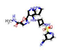 CNC(=O)c1cnc(-c2cnc3[nH]ccc3c2N[C@H]2C[C@H](NS(=O)(=O)c3cc(C#N)ccn3)C2)o1